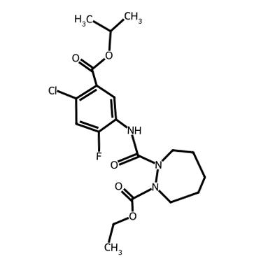 CCOC(=O)N1CCCCCN1C(=O)Nc1cc(C(=O)OC(C)C)c(Cl)cc1F